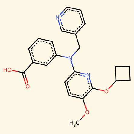 COc1ccc(N(Cc2cccnc2)c2cccc(C(=O)O)c2)nc1OC1CCC1